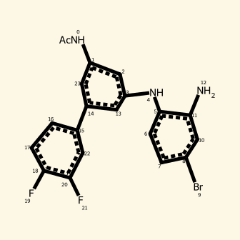 CC(=O)Nc1cc(Nc2ccc(Br)cc2N)cc(-c2ccc(F)c(F)c2)c1